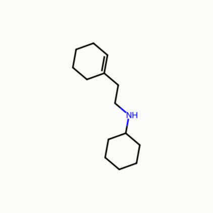 C1=C(CCNC2CCCCC2)CCCC1